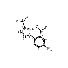 CC(C)c1noc(-c2ccc(F)cc2C(C)C)n1